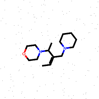 C/C=C(/CN1CCCCC1)C(C)N1CCOCC1